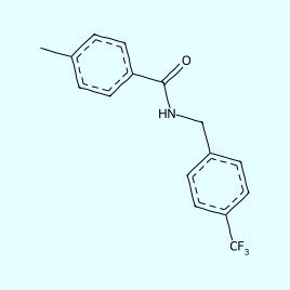 Cc1ccc(C(=O)NCc2ccc(C(F)(F)F)cc2)cc1